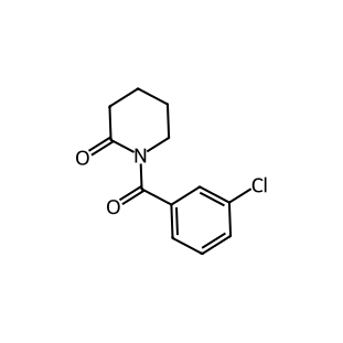 O=C1CCCCN1C(=O)c1cccc(Cl)c1